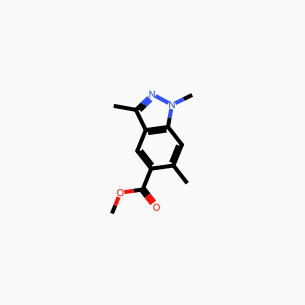 COC(=O)c1cc2c(C)nn(C)c2cc1C